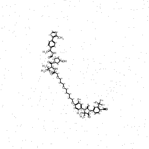 Cc1ncsc1-c1ccc(C(C)NC(=O)[C@@H]2C[C@@H](O)CN2C(=O)C(NC(=O)COCCCOCCCCCOc2ccc(N3C(=S)N(c4ccc(C#N)c(C(F)(F)F)c4)C(=O)C3(C)C)cc2F)C(C)(C)C)cc1